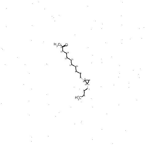 CCCC[C@H]1C[C@H]1CCCCCCCCCC(C)=O